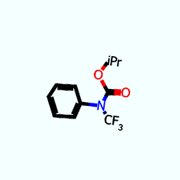 CC(C)OC(=O)N(c1ccccc1)C(F)(F)F